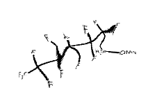 CO[SiH2]C(F)(F)C(F)(F)C(F)(F)C(F)(F)C(F)(F)C(F)(F)F